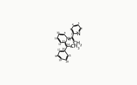 C=C(c1ccccn1)N1C=CC=C/C1=C(/C)c1ccccc1